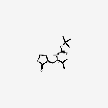 CC(C)[C@@H](CN1CCOC1=O)NC(=O)OC(C)(C)C